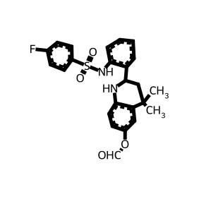 CC1(C)CC(c2ccccc2NS(=O)(=O)c2ccc(F)cc2)Nc2ccc(OC=O)cc21